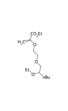 C=C(OCCOCC(CCCC)OCC)C(=O)OCC